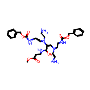 COC(=O)CCNC(O)C(CN(CCN)CCNC(=O)OCc1ccccc1)N(CCN)CCNC(=O)OCc1ccccc1